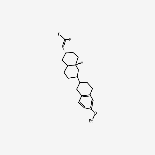 CCOc1ccc2c(c1)CCC(C1CCC3C[C@H](C=C(F)F)CC[C@@H]3C1)C2